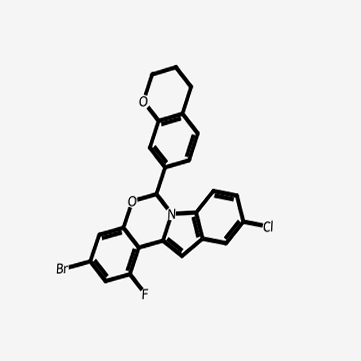 Fc1cc(Br)cc2c1-c1cc3cc(Cl)ccc3n1C(c1ccc3c(c1)OCCC3)O2